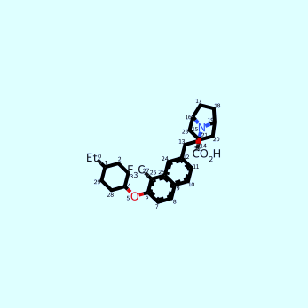 CCC1CCC(Oc2ccc3ccc(CCN4C5CCC4CC(C(=O)O)C5)cc3c2C(F)(F)F)CC1